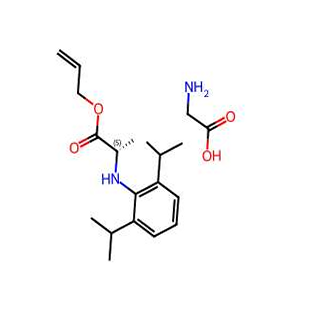 C=CCOC(=O)[C@H](C)Nc1c(C(C)C)cccc1C(C)C.NCC(=O)O